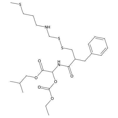 CCOC(=O)OC(NC(=O)C(CSSCNCCCSC)Cc1ccccc1)C(=O)OCC(C)C